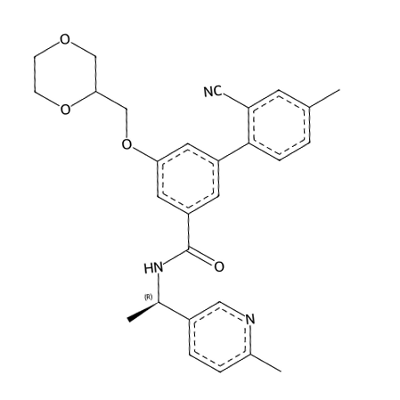 Cc1ccc(-c2cc(OCC3COCCO3)cc(C(=O)N[C@H](C)c3ccc(C)nc3)c2)c(C#N)c1